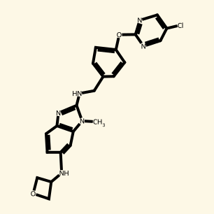 Cn1c(NCc2ccc(Oc3ncc(Cl)cn3)cc2)nc2ccc(NC3COC3)cc21